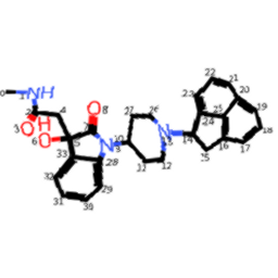 CNC(=O)CC1(O)C(=O)N(C2CCN(C3Cc4cccc5cccc3c45)CC2)c2ccccc21